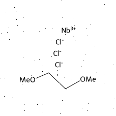 COCCOC.[Cl-].[Cl-].[Cl-].[Nb+3]